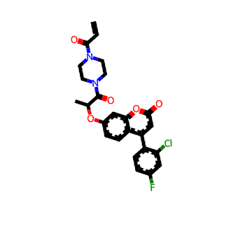 C=CC(=O)N1CCN(C(=O)C(C)Oc2ccc3c(-c4ccc(F)cc4Cl)cc(=O)oc3c2)CC1